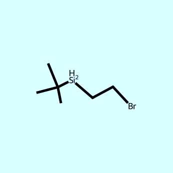 CC(C)(C)[SiH2]CCBr